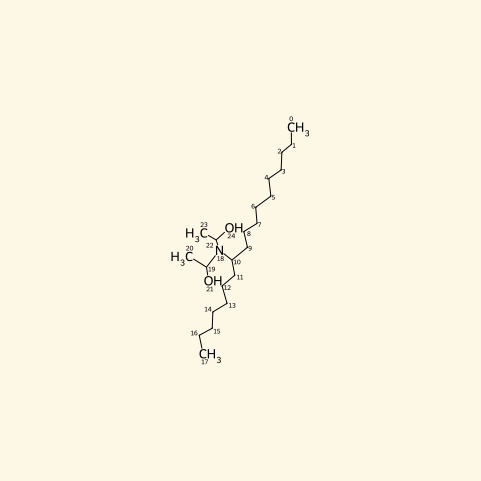 CCCCCCCCCCC(CCCCCCC)N(C(C)O)C(C)O